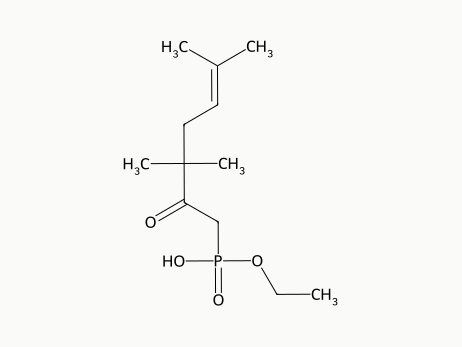 CCOP(=O)(O)CC(=O)C(C)(C)CC=C(C)C